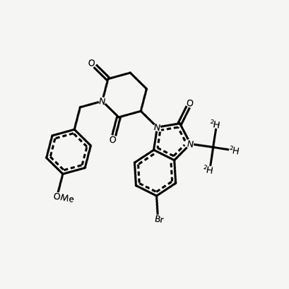 [2H]C([2H])([2H])n1c(=O)n(C2CCC(=O)N(Cc3ccc(OC)cc3)C2=O)c2ccc(Br)cc21